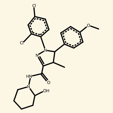 COc1ccc(C2C(C)C(C(=O)NN3CCCCC3O)=NN2c2ccc(Cl)cc2Cl)cc1